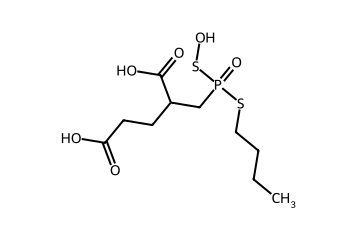 CCCCSP(=O)(CC(CCC(=O)O)C(=O)O)SO